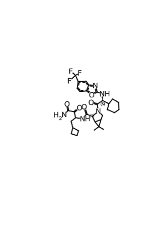 CC1(C)C2CN(C(=O)[C@@H](Nc3nc4cc(C(F)(F)F)ccc4o3)C3CCCCC3)[C@H](C(=O)NC(CC3CCC3)C(=O)C(N)=O)C21